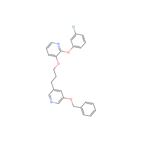 Clc1cccc(Oc2ncccc2OCCCc2cncc(OCc3ccccc3)c2)c1